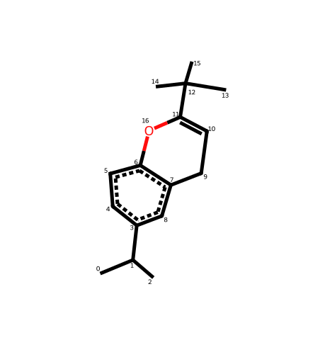 CC(C)c1ccc2c(c1)CC=C(C(C)(C)C)O2